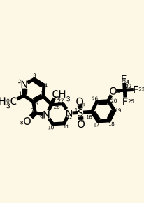 Cc1nccc2c1C(=O)N1CCN(S(=O)(=O)c3cccc(OC(F)(F)F)c3)CC21C